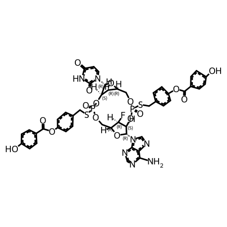 Nc1ncnc2c1ncn2[C@@H]1O[C@@H]2COP(=O)(SCc3ccc(OC(=O)c4ccc(O)cc4)cc3)O[C@@H]3[C@H](F)[C@@H](COP(=O)(SCc4ccc(OC(=O)c5ccc(O)cc5)cc4)O[C@@H]1[C@@H]2F)O[C@H]3n1ccc(=O)[nH]c1=O